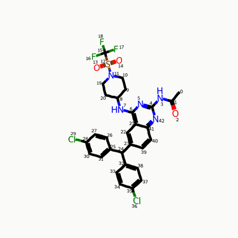 CC(=O)Nc1nc(NC2CCN(S(=O)(=O)C(F)(F)F)CC2)c2cc(C(c3ccc(Cl)cc3)c3ccc(Cl)cc3)ccc2n1